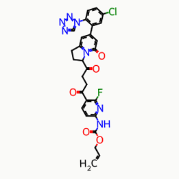 C=CCOC(=O)Nc1ccc(C(=O)CCC(=O)C2CCc3cc(-c4cc(Cl)ccc4-n4cnnn4)cc(=O)n32)c(F)n1